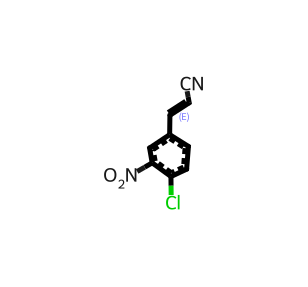 N#C/C=C/c1ccc(Cl)c([N+](=O)[O-])c1